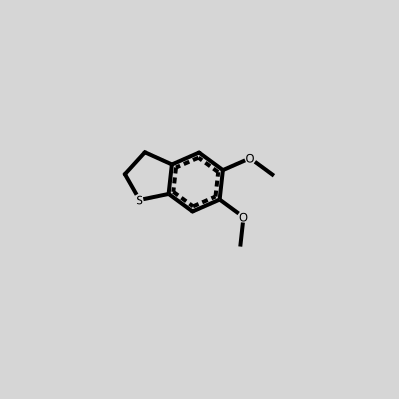 COc1cc2c(cc1OC)SCC2